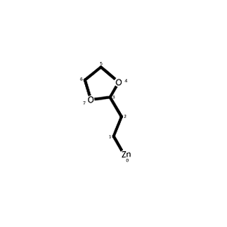 [Zn][CH2]CC1OCCO1